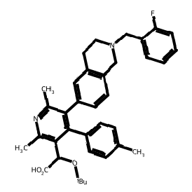 Cc1ccc(-c2c(-c3ccc4c(c3)CCN(Cc3ccccc3F)C4)c(C)nc(C)c2C(OC(C)(C)C)C(=O)O)cc1